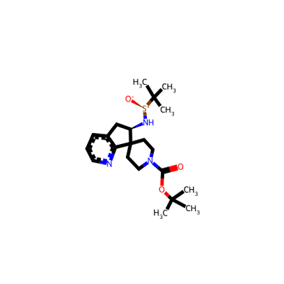 CC(C)(C)OC(=O)N1CCC2(CC1)c1ncccc1C[C@H]2N[S@@+]([O-])C(C)(C)C